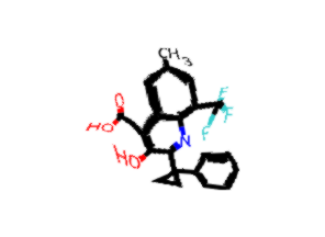 Cc1cc(C(F)(F)F)c2nc(C3(c4ccccc4)CC3)c(O)c(C(=O)O)c2c1